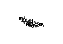 Cc1c(-c2ccc(Br)cc2)nn(C)c1NC(=O)c1ccc(C(F)(F)F)cc1